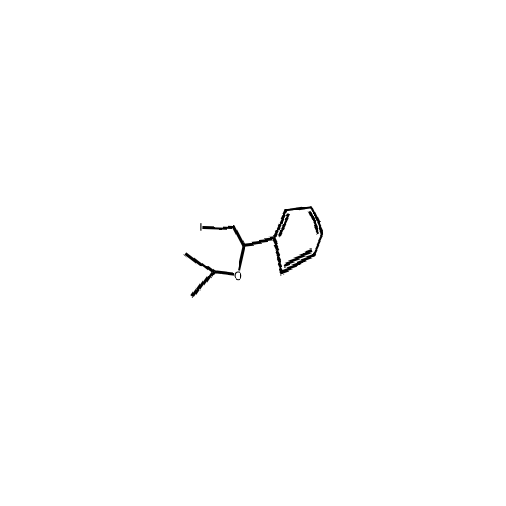 CC(C)OC(CI)c1ccccc1